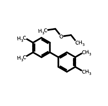 CCOCC.Cc1ccc(-c2ccc(C)c(C)c2)cc1C